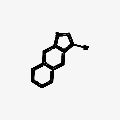 Brc1csc2cc3ccccc3cc12